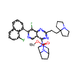 CC(C)(C)OC(=O)N1C2CCC1CN(c1nc(CCC34CCCN3CCC4)nc3c(F)c(-c4cccc5cccc(F)c45)ncc13)C2